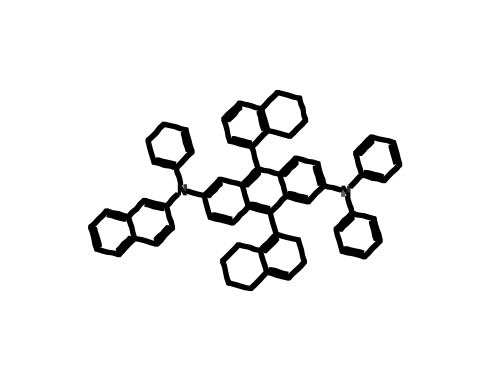 C1=CC(N(c2ccc3ccccc3c2)c2ccc3c(C4=C5CCCCC5=CCC4)c4cc(N(c5ccccc5)c5ccccc5)ccc4c(-c4cccc5c4CCCC5)c3c2)=CCC1